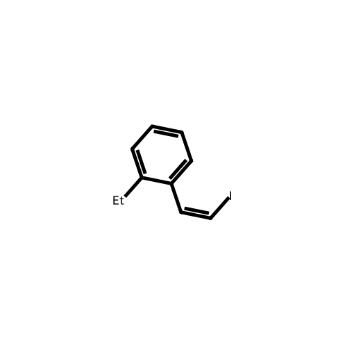 CCc1ccccc1/C=C\I